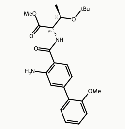 COC(=O)[C@@H](NC(=O)c1ccc(-c2ccccc2OC)cc1N)[C@@H](C)OC(C)(C)C